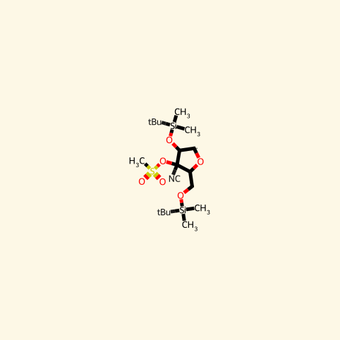 CC(C)(C)[Si](C)(C)OCC1O[CH]C(O[Si](C)(C)C(C)(C)C)C1(C#N)OS(C)(=O)=O